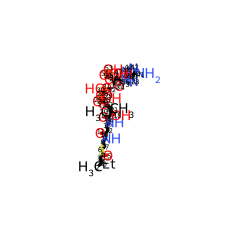 CC/C(C)=C\C(=O)SCCNC(=O)CCNC(=O)C(O)C(C)(C)COP(=O)(O)OP(=O)(O)OC[C@H]1O[C@@H](n2cnc3c(N)ncnc32)[C@H](O)[C@@H]1OP(=O)(O)O